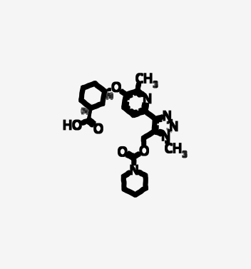 Cc1nc(-c2nnn(C)c2COC(=O)N2CCCCC2)ccc1O[C@H]1CCC[C@H](C(=O)O)C1